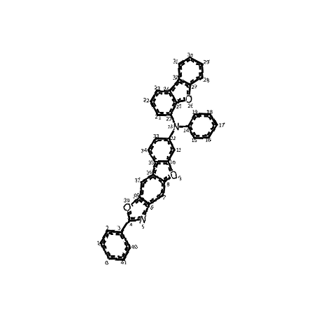 c1ccc(-c2nc3cc4oc5cc(N(c6ccccc6)c6cccc7c6oc6ccccc67)ccc5c4cc3o2)cc1